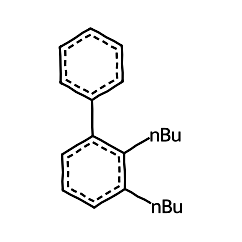 CCCCc1cccc(-c2ccccc2)c1CCCC